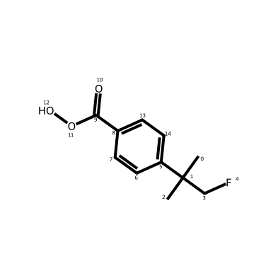 CC(C)(CF)c1ccc(C(=O)OO)cc1